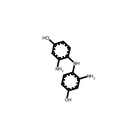 Nc1cc(O)ccc1Nc1ccc(O)cc1N